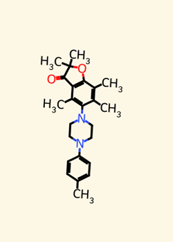 Cc1ccc(N2CCN(c3c(C)c(C)c4c(c3C)C(=O)C(C)(C)O4)CC2)cc1